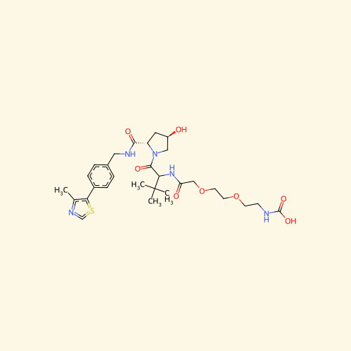 Cc1ncsc1-c1ccc(CNC(=O)[C@@H]2C[C@@H](O)CN2C(=O)C(NC(=O)COCCOCCNC(=O)O)C(C)(C)C)cc1